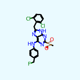 CS(=O)(=O)c1nc(Nc2ccc(CF)cc2)c2nc(Cc3c(Cl)cccc3Cl)[nH]c2n1